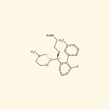 CC(=O)NCCO[C@@H](c1cccc(F)c1-c1cccc(C)c1)[C@H]1CN(C)CCO1